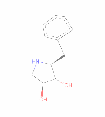 O[C@H]1[C@H](Cc2ccccc2)NC[C@@H]1O